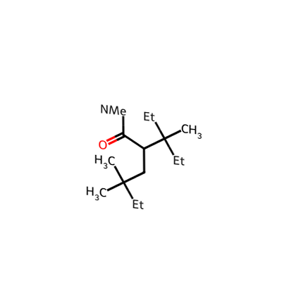 CCC(C)(C)CC(C(=O)NC)C(C)(CC)CC